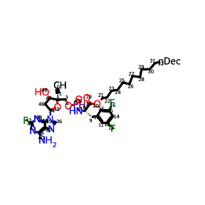 C#C[C@]1(CO[PH](=O)N[C@@H](Cc2cc(F)cc(F)c2)C(=O)OCCCCCCCCCCCCCCCCCCCCC)O[C@@H](n2cnc3c(N)nc(F)nc32)C[C@@H]1O